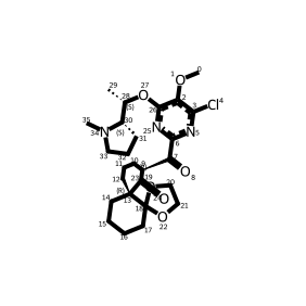 COc1c(Cl)nc(C(=O)[C@@H]2CCC[C@@]3(CCCCC34OCCO4)C2=O)nc1O[C@@H](C)[C@@H]1CCCN1C